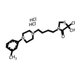 Cc1cccc(N2CCN(CCCCN3CSC(C)(C)C3=O)CC2)c1.Cl.Cl